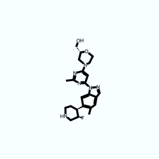 Cc1nc(N2CCO[C@@H](CO)C2)cc(-n2ncc3cc(C)c([C@@H]4CCNC[C@@H]4F)cc32)n1